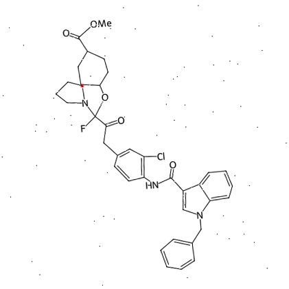 COC(=O)C1CCC(OC(F)(C(=O)Cc2ccc(NC(=O)c3cn(Cc4ccccc4)c4ccccc34)c(Cl)c2)N2CCCC2)CC1